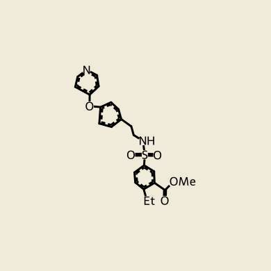 CCc1ccc(S(=O)(=O)NCCc2ccc(Oc3ccncc3)cc2)cc1C(=O)OC